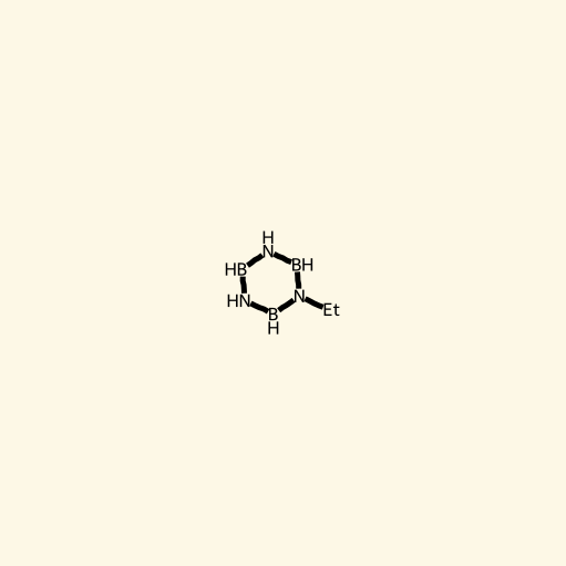 CCN1BNBNB1